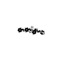 O=C(Cc1ccc(OCc2ccccc2)cc1)Nc1cccc2c1cnn2CCN1CCOCC1